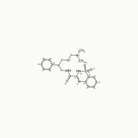 CN(C)COCC(CNC(=O)C1=Nc2ccccc2S(=O)(=O)N1)c1ccccc1